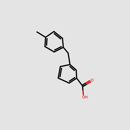 Cc1ccc(Cc2cccc(C(=O)O)c2)cc1